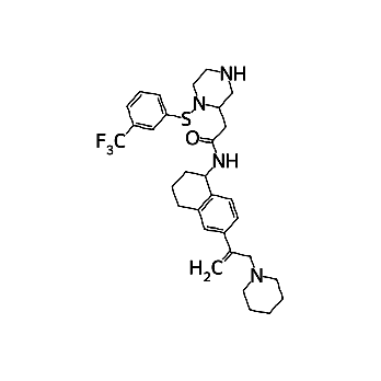 C=C(CN1CCCCC1)c1ccc2c(c1)CCCC2NC(=O)CC1CNCCN1Sc1cccc(C(F)(F)F)c1